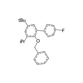 CC(C)c1cc(C(C)(C)C)cc(-c2ccc(F)cc2)c1OCc1ccccc1